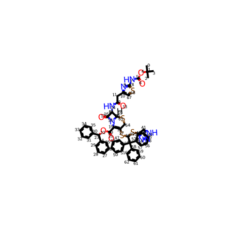 CC(C)(C)OC(=O)Nc1nc(CC(=O)N[C@@H]2C(=O)N3C(C(=O)OC(c4ccccc4)c4ccccc4)=C(SC(Sc4c[nH]nn4)C(c4ccccc4)(c4ccccc4)c4ccccc4)CS[C@H]23)cs1